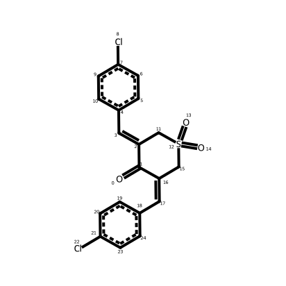 O=C1/C(=C/c2ccc(Cl)cc2)CS(=O)(=O)C/C1=C/c1ccc(Cl)cc1